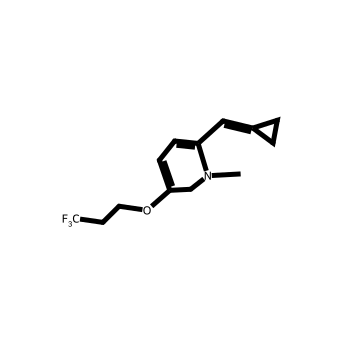 CN1CC(OCCC(F)(F)F)=CC=C1C=C1CC1